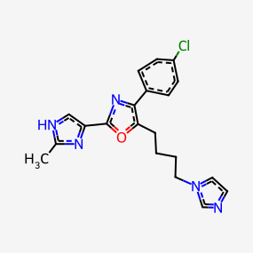 Cc1nc(-c2nc(-c3ccc(Cl)cc3)c(CCCCn3ccnc3)o2)c[nH]1